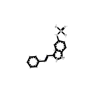 CCP(=O)(CC)Oc1ccc2[nH]nc(/C=C/c3ccccc3)c2c1